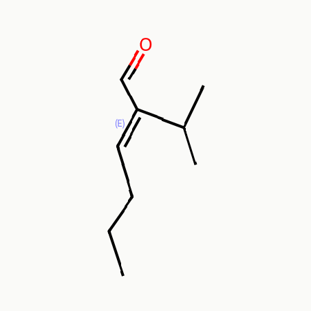 CCC/C=C(/C=O)C(C)C